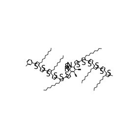 C#Cc1c(C#C)c(-c2ccc(-c3cc(CCCCCCCC)c(-c4ccc(-c5sc(-c6ccc(-c7sc(-c8cccc(C)c8)cc7CCCCCCCC)s6)cc5CCCCCCCC)s4)s3)s2)c2nsnc2c1-c1ccc(-c2cc(CCCCCCCC)c(-c3ccc(-c4sc(-c5ccc(-c6sc(C)cc6CCCCCCCC)s5)cc4CCCCCCCC)s3)s2)s1